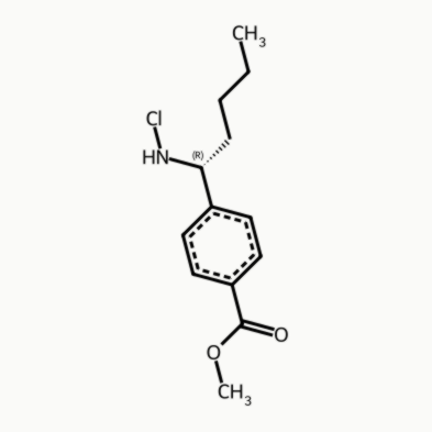 CCCC[C@@H](NCl)c1ccc(C(=O)OC)cc1